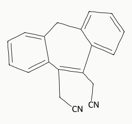 N#CCC1=C(CC#N)c2ccccc2Cc2ccccc21